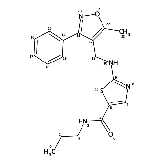 CCCNC(=O)c1cnc(NCc2c(-c3ccccc3)noc2C)s1